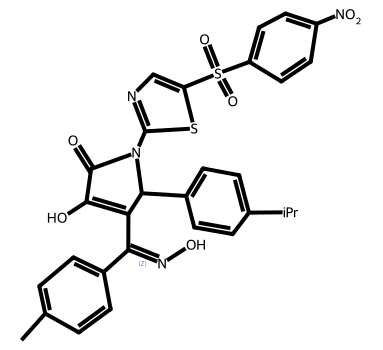 Cc1ccc(/C(=N/O)C2=C(O)C(=O)N(c3ncc(S(=O)(=O)c4ccc([N+](=O)[O-])cc4)s3)C2c2ccc(C(C)C)cc2)cc1